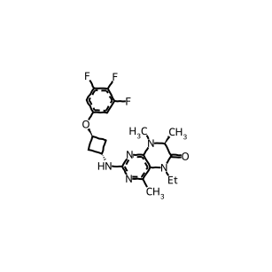 CCN1C(=O)[C@H](C)N(C)c2nc(N[C@H]3C[C@H](Oc4cc(F)c(F)c(F)c4)C3)nc(C)c21